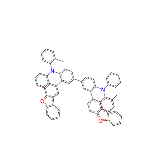 Cc1ccccc1N(c1ccccc1)c1ccc(-c2ccc(N(c3ccccc3)c3ccccc3C)c(-c3ccc4oc5ccccc5c4c3)c2)cc1-c1ccc2oc3ccccc3c2c1